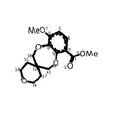 COC(=O)c1ccc(OC)c2c1OCC1(CCOCC1)CO2